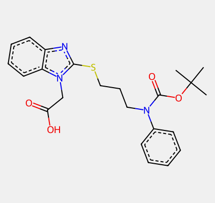 CC(C)(C)OC(=O)N(CCCSc1nc2ccccc2n1CC(=O)O)c1ccccc1